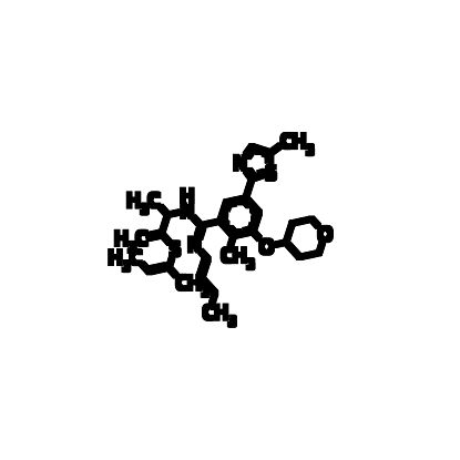 C=C(S/C(C)=C\C)C(C)N/C(=N/C=C/CC)c1cc(-c2ncc(C)s2)cc(OC2CCOCC2)c1C